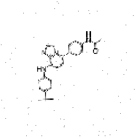 CC(=O)Nc1ccc(-c2ccc(Nc3ccc(C(C)(C)C)cc3)c3nccn23)cc1